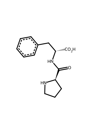 O=C(O)[C@@H](Cc1ccccc1)NC(=O)[C@H]1CCCN1